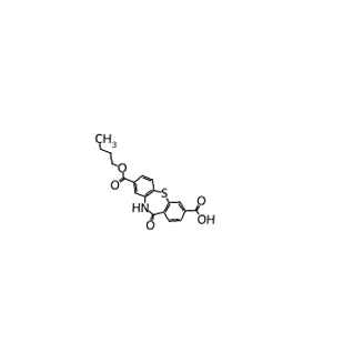 CCCCOC(=O)c1ccc2c(c1)NC(=O)c1ccc(C(=O)O)cc1S2